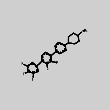 CCCCC1CCC(c2ccc(-c3ccc(-c4cc(F)c(F)c(F)c4)c(F)c3F)cc2)CC1